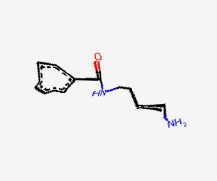 NC=CCNC(=O)c1ccccc1